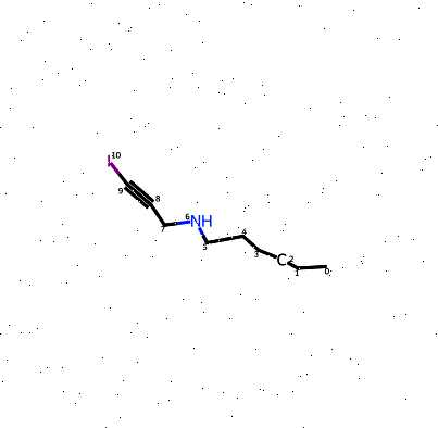 CCCCCCNCC#CI